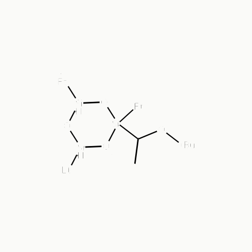 CC[SiH]1O[SiH](CC)O[Si](CC)(C(C)OC(C)(C)C)O1